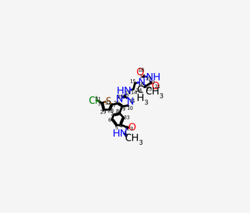 CNC(=O)c1cccc(-c2cnc(NCCN3C(=O)NC(=O)C3(C)C)nc2-c2ccc(Cl)s2)c1